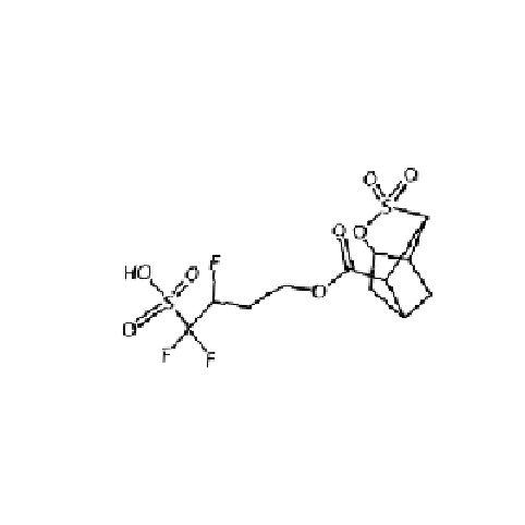 O=C(OCCC(F)C(F)(F)S(=O)(=O)O)C1C2CC3OS(=O)(=O)C1C3C2